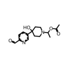 CC(=O)OC(C)N1CCC(O)(c2ccc(C=O)nc2)CC1